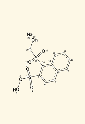 O=S(=O)(OO)c1ccc2ccccc2c1S(=O)(=O)OO.[Na]